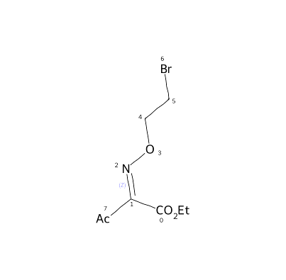 CCOC(=O)/C(=N\OCCBr)C(C)=O